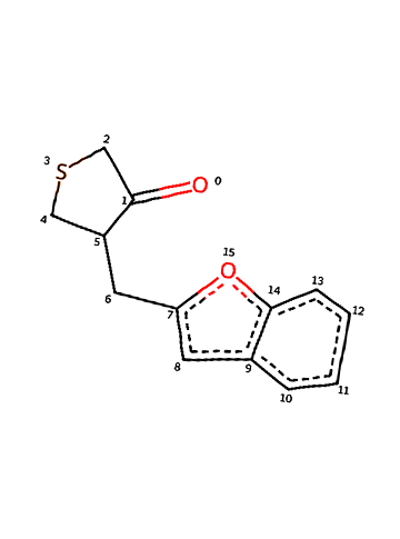 O=C1CSCC1Cc1cc2ccccc2o1